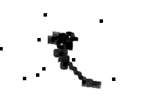 CCCCCCCCCCCCCCCCCC(=O)O[C@@H](C)C(=O)OC1=CC[C@@]2(O)[C@H]3Cc4ccc(C)c5c4[C@@]2(CCN3C)[C@H]1O5